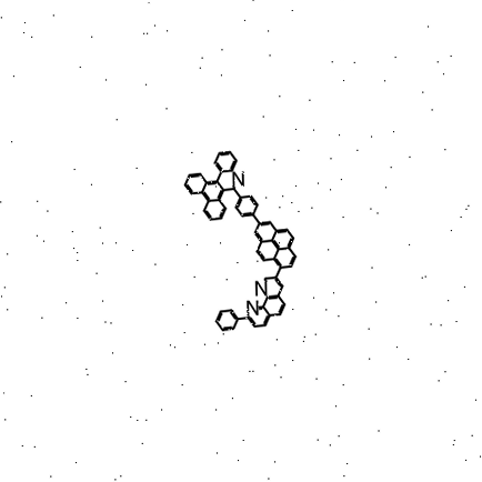 c1ccc(-c2ccc3ccc4cc(-c5ccc6ccc7cc(-c8ccc(-c9nc%10ccccc%10c%10c%11ccccc%11c%11ccccc%11c9%10)cc8)cc8ccc5c6c78)cnc4c3n2)cc1